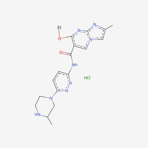 CCOc1nc2nc(C)cn2cc1C(=O)Nc1ccc(N2CCNC(C)C2)nn1.Cl